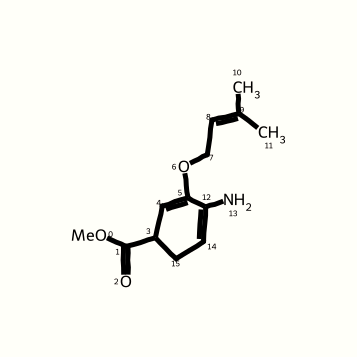 COC(=O)C1C=C(OCC=C(C)C)C(N)=CC1